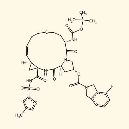 Cc1csc(S(=O)(=O)NC(=O)[C@@]23C[C@H]2/C=C\CCCCC[C@H](NC(=O)OC(C)(C)C)C(=O)N2C[C@H](OC(=O)N4Cc5cccc(F)c5C4)C[C@H]2C(=O)N3)c1